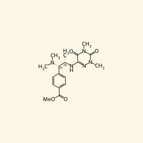 COC(=O)c1ccc([C@@H]([C@H](C)Nc2nn(C)c(=O)n(C)c2=O)N(C)C)cc1